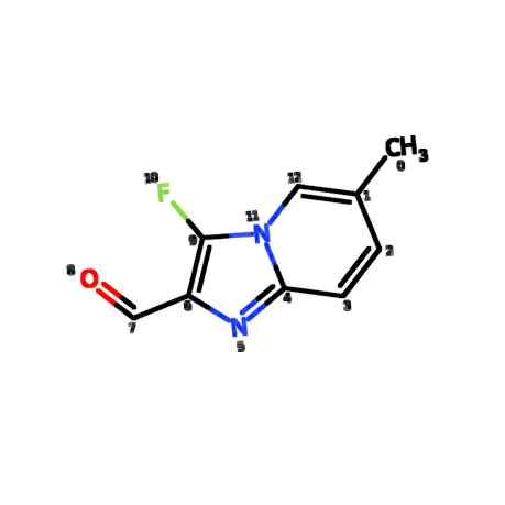 Cc1ccc2nc(C=O)c(F)n2c1